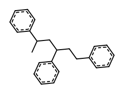 CC(CC(CCc1ccccc1)c1ccccc1)c1ccccc1